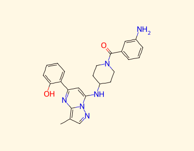 Cc1cnn2c(NC3CCN(C(=O)c4cccc(N)c4)CC3)cc(-c3ccccc3O)nc12